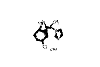 CC(c1noc2ccc(Cl)cc12)n1ccnc1.Cl